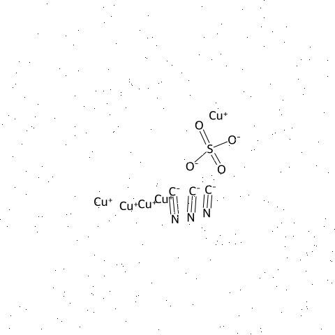 O=S(=O)([O-])[O-].[C-]#N.[C-]#N.[C-]#N.[Cu+].[Cu+].[Cu+].[Cu+].[Cu+]